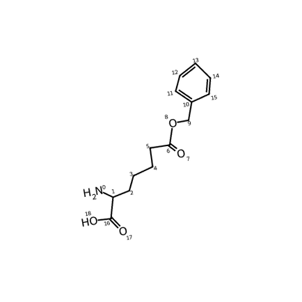 NC(CCCCC(=O)OCc1ccccc1)C(=O)O